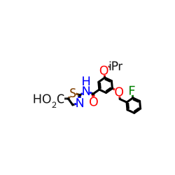 CC(C)Oc1cc(OCc2ccccc2F)cc(C(=O)NC2=NCC(C(=O)O)S2)c1